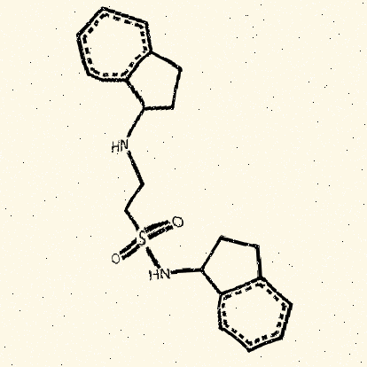 O=S(=O)(CCNC1CCc2ccccc21)NC1CCc2ccccc21